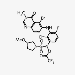 CO[C@@H]1CCN(S(=O)(=O)N(OC(=O)C(F)(F)F)c2ccc(F)c(Nc3ccc4ncn(C)c(=O)c4c3Br)c2Cl)C1